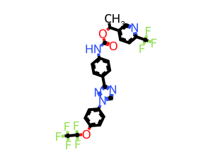 CC(OC(=O)Nc1ccc(-c2ncn(-c3ccc(OC(F)(F)C(F)(F)F)cc3)n2)cc1)c1ccc(C(F)(F)F)nc1